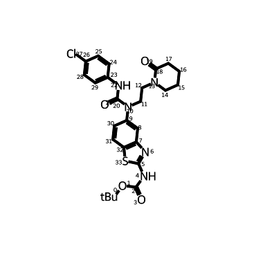 CC(C)(C)OC(=O)Nc1nc2cc(N(CCN3CCCCC3=O)C(=O)Nc3ccc(Cl)cc3)ccc2s1